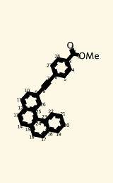 COC(=O)c1ccc(C#Cc2ccc3ccc4ccc5ccccc5c4c3c2)cc1